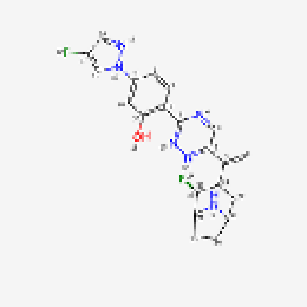 C=C(c1cnc(-c2ccc(-n3cc(F)cn3)cc2O)nn1)C1CC2CCC(N2)[C@H]1F